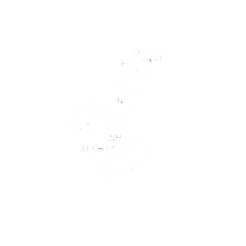 C[C@@H](NCC1CCN(c2ccc(C(=O)O)c(F)c2)CC1c1ccccc1)c1cccc2ccccc12